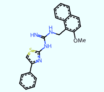 COc1ccc2ccccc2c1CNC(=N)Nc1nc(-c2ccccc2)cs1